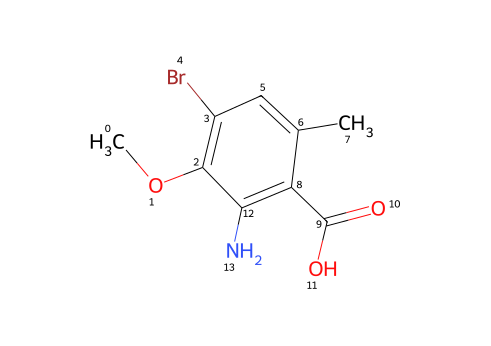 COc1c(Br)cc(C)c(C(=O)O)c1N